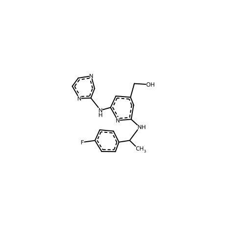 CC(Nc1cc(CO)cc(Nc2cnccn2)n1)c1ccc(F)cc1